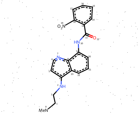 CNCCNc1ccnc2c(NC(=O)c3ccccc3[N+](=O)[O-])cccc12